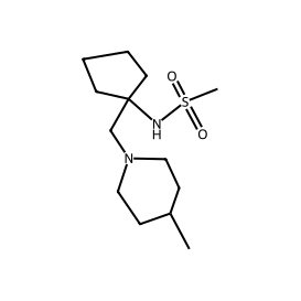 CC1CCN(CC2(NS(C)(=O)=O)CCCC2)CC1